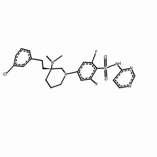 CN(C)[C@@]1(CCc2cccc(Cl)c2)CCCN(c2cc(F)c(S(=O)(=O)Nc3ccncn3)c(F)c2)C1